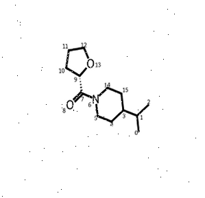 CC(C)C1CCN(C(=O)[C@@H]2CCCO2)CC1